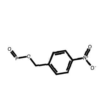 O=POCc1ccc([N+](=O)[O-])cc1